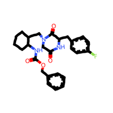 O=C1CN(CC2CCCCC2NC(=O)OCc2ccccc2)C(=O)C(Cc2ccc(F)cc2)N1